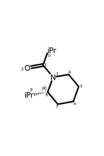 CC(C)C(=O)N1CCCC[C@@H]1C(C)C